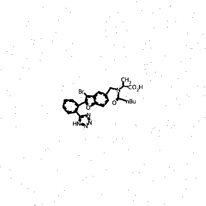 CCCCC(=O)N(Cc1ccc2oc(-c3ccccc3-c3nnn[nH]3)c(Br)c2c1)[C@@H](C)C(=O)O